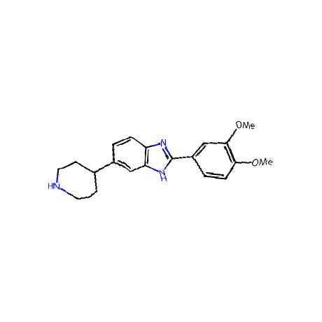 COc1ccc(-c2nc3ccc(C4CCNCC4)cc3[nH]2)cc1OC